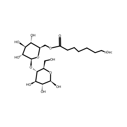 CCCCCCCCCCCCCCCCC(=O)OC[C@H]1O[C@@H](O[C@H]2[C@H](O)[C@@H](O)[C@H](O)O[C@@H]2CO)[C@H](O)[C@@H](O)[C@@H]1O